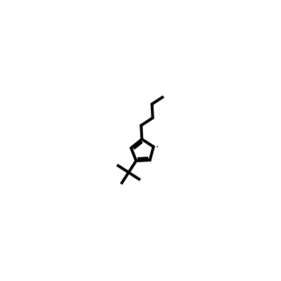 CCCCC1=CC(C(C)(C)C)=C[CH]1